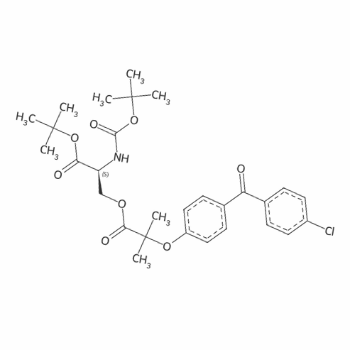 CC(C)(C)OC(=O)N[C@@H](COC(=O)C(C)(C)Oc1ccc(C(=O)c2ccc(Cl)cc2)cc1)C(=O)OC(C)(C)C